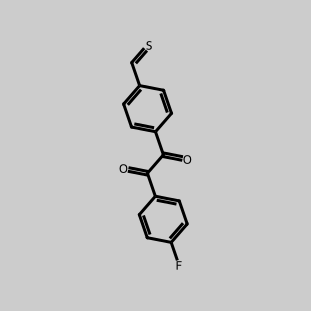 O=C(C(=O)c1ccc(C=S)cc1)c1ccc(F)cc1